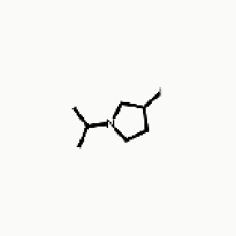 CC(C)N1CCC(I)C1